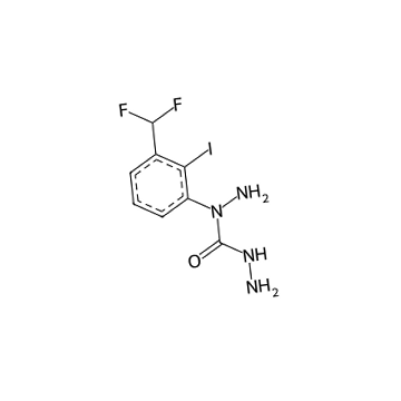 NNC(=O)N(N)c1cccc(C(F)F)c1I